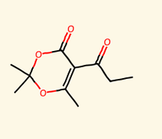 CCC(=O)C1=C(C)OC(C)(C)OC1=O